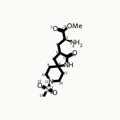 COC(=O)[C@@H](N)CC1CC2(CCN(S(C)(=O)=O)CC2)NC1=O